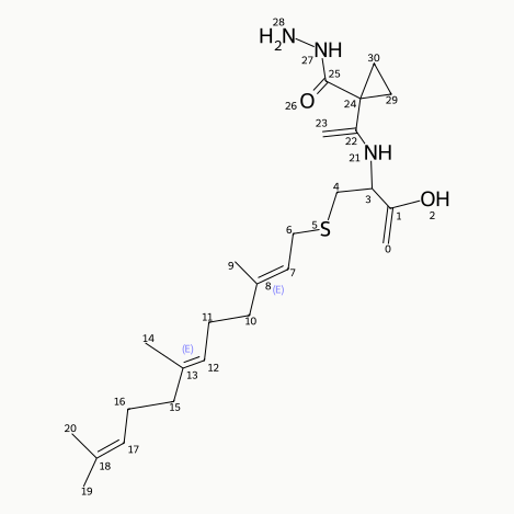 C=C(O)C(CSC/C=C(\C)CC/C=C(\C)CCC=C(C)C)NC(=C)C1(C(=O)NN)CC1